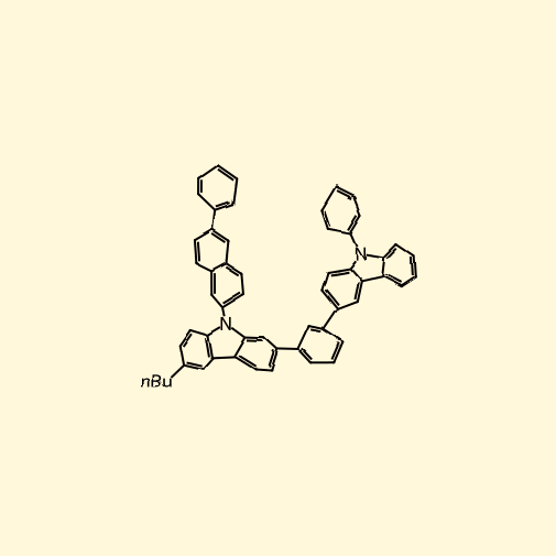 CCCCc1ccc2c(c1)c1ccc(-c3cccc(-c4ccc5c(c4)c4ccccc4n5-c4ccccc4)c3)cc1n2-c1ccc2cc(-c3ccccc3)ccc2c1